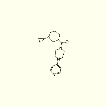 O=C(C1CCCN(C2CC2)C1)N1CCN(c2ccncc2)CC1